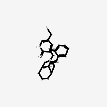 O=c1[nH]cc(CI)cc1CN1CC2CCCC(C1)C2/C=C/c1ccccc1F